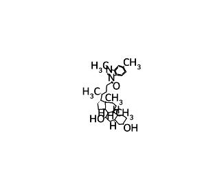 Cc1ccc2c(c1)N(C)CN2C(=O)CC[C@@H](C)[C@H]1CC[C@H]2[C@@H]3[C@H](O)C[C@@H]4C[C@H](O)CC[C@]4(C)[C@H]3CC[C@]12C